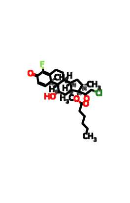 CCCCCC(=O)O[C@@]1(C(=O)CCl)[C@@H](C)C[C@H]2[C@@H]3CCC4=C(F)C(=O)C=C[C@]4(C)[C@H]3[C@@H](O)C[C@@]21C